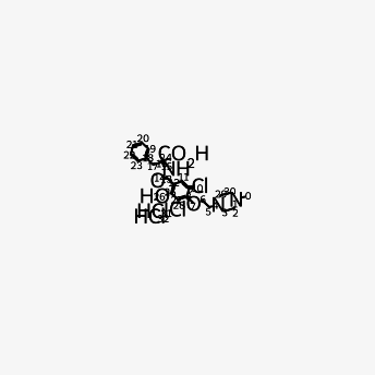 CN1CCN(CCOc2c(Cl)cc(C(=O)N[C@@H](Cc3ccccc3)C(=O)O)c(O)c2Cl)CC1.Cl.Cl